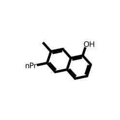 CCCc1cc2cccc(O)c2cc1C